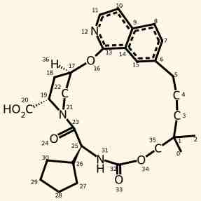 CC1(C)CCCc2ccc3ccnc(c3c2)O[C@@H]2C[C@@H](C(=O)O)N(C2)C(=O)[C@H](C2CCCC2)NC(=O)OC1